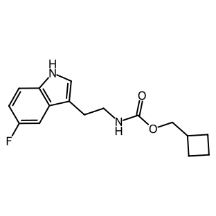 O=C(NCCc1c[nH]c2ccc(F)cc12)OCC1CCC1